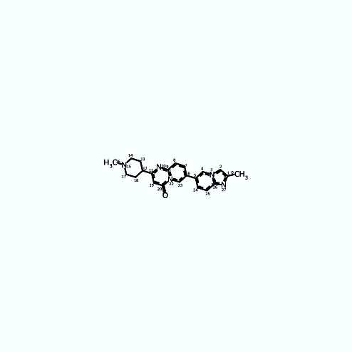 Cc1cn2cc(-c3ccc4nc(C5CCN(C)CC5)cc(=O)n4c3)ccc2n1